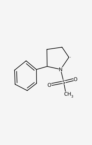 CS(=O)(=O)N1[CH]CCC1c1ccccc1